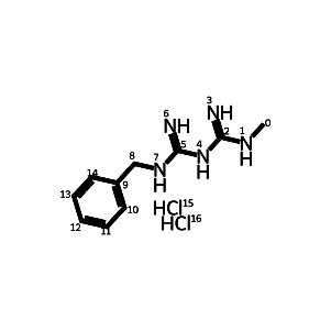 CNC(=N)NC(=N)NCc1ccccc1.Cl.Cl